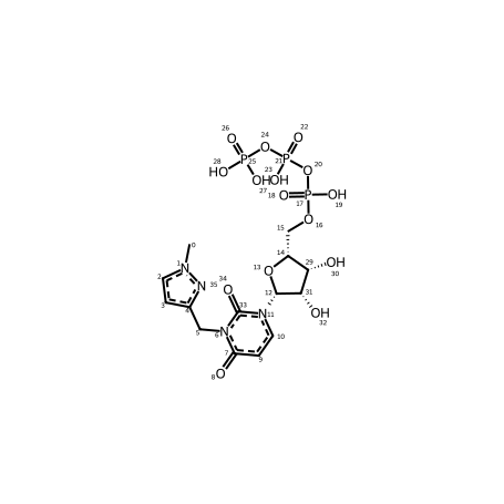 Cn1ccc(Cn2c(=O)ccn([C@@H]3O[C@H](COP(=O)(O)OP(=O)(O)OP(=O)(O)O)[C@H](O)[C@@H]3O)c2=O)n1